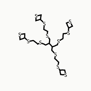 C(CSC1CSC1)SCC(CSCCSC1CSC1)C(CSCCSC1CSC1)CSCCSC1CSC1